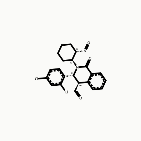 O=C[C@@H]1c2ccccc2C(=O)N([C@H]2CCCC[C@@H]2N=O)[C@H]1c1ccc(Cl)cc1Cl